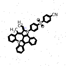 C/C=c1\c2c(C)c3ccccc3n3c4ccccc4c4c5ccccc5c(c2c43)n1-c1ccc(S(=O)(=O)c2ccc(C#N)cc2)cc1